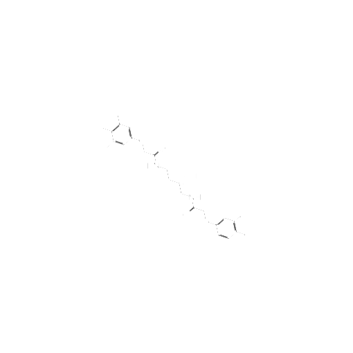 Cc1cc(OCC(=O)NCC[C@H](O)CNC(=O)COc2ccc(Cl)c(F)c2)cc(C)c1C